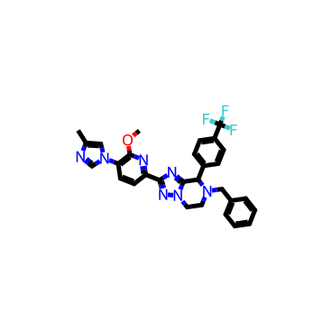 COc1nc(-c2nc3n(n2)CCN(Cc2ccccc2)C3c2ccc(C(F)(F)F)cc2)ccc1-n1cnc(C)c1